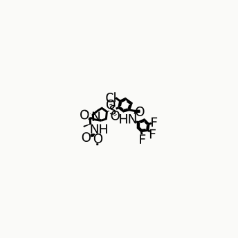 COC(=O)N[C@@H](C)C(=O)N1C2C[C@@H](S(=O)(=O)c3cc(C(=O)Nc4cc(F)c(F)c(F)c4)ccc3Cl)CC1[C@@H](C)C2